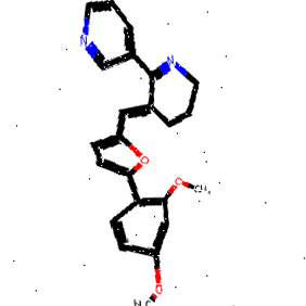 COc1ccc(-c2ccc(C=C3CCCN=C3c3cccnc3)o2)c(OC)c1